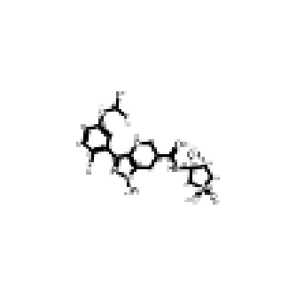 CC(C)n1nc(-c2cc(OC(F)F)ccc2F)c2c1CC(C(=O)N[C@@]1(C)CCS(=O)(=O)C1)CO2